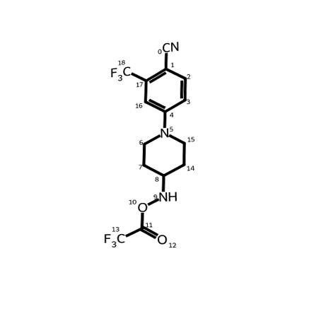 N#Cc1ccc(N2CCC(NOC(=O)C(F)(F)F)CC2)cc1C(F)(F)F